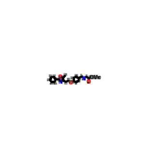 COC(=O)C/N=C/c1ccc(OCCc2nc(-c3ccccc3)oc2C)cc1